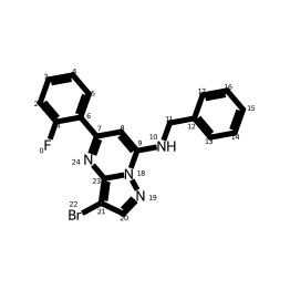 Fc1ccccc1-c1cc(NCc2ccccc2)n2ncc(Br)c2n1